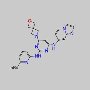 CCCCc1cccc(Nc2nc(Nc3ccn4ccnc4c3)cc(N3CC4(COC4)C3)n2)n1